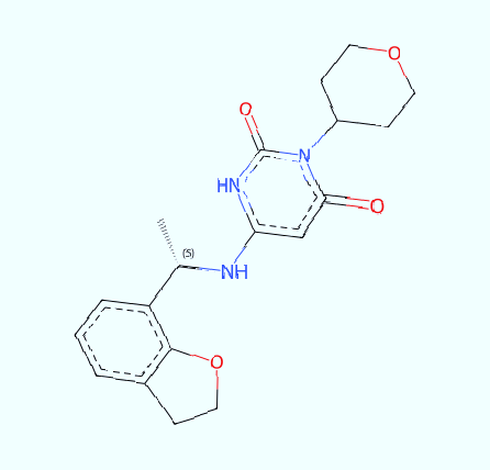 C[C@H](Nc1cc(=O)n(C2CCOCC2)c(=O)[nH]1)c1cccc2c1OCC2